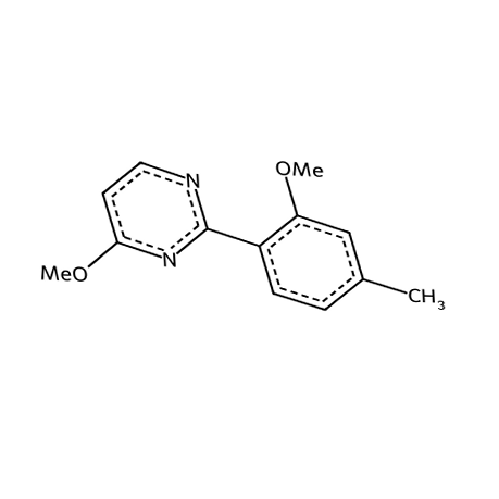 COc1ccnc(-c2ccc(C)cc2OC)n1